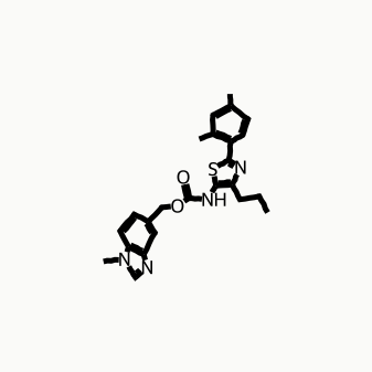 CCCc1nc(-c2ccc(C)cc2C)sc1NC(=O)OCc1ccc2c(c1)ncn2C